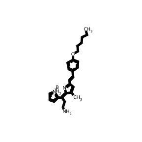 Bn1cccc1/C(CCN)=C1N=C(/C=C/c2ccc(OCCCCCC)cc2)C=C\1C